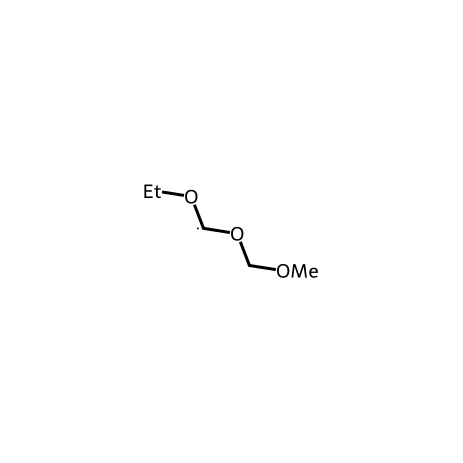 CCO[CH]OCOC